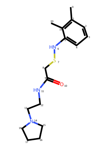 Cc1cccc(NSCC(=O)NCCN2CCCC2)c1C